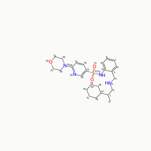 CC(CNCc1ccccc1NS(=O)(=O)c1ccc(N2CCOCC2)nc1)C1CCCCC1